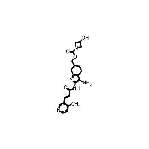 Cc1ccncc1/C=C/C(=O)Nc1sc2c(c1N)CCC(COC(=O)N1CC(O)C1)C2